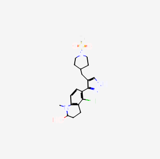 CCS(=O)(=O)N1CCC(Cc2c[nH]nc2-c2ccc3c(c2Cl)CCC(O)N3C)CC1